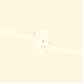 CCCCCCCCCCCCCCCCCC(=O)NC(C)NC(C)NC(=O)CCCCCCCCCCCCCCCCC